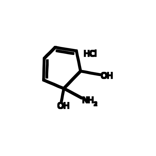 Cl.NC1(O)C=CC=CC1O